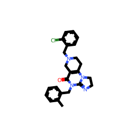 Cc1ccccc1CN1C(=O)C2=C(CCN(Cc3ccccc3Cl)C2)N2CCN=C12